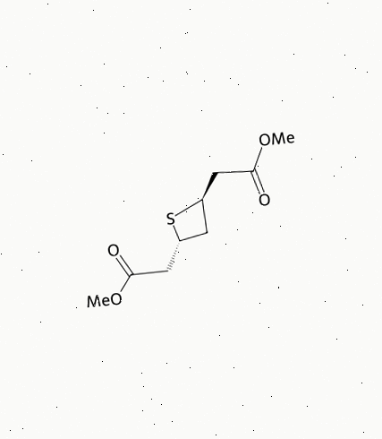 COC(=O)C[C@H]1C[C@H](CC(=O)OC)S1